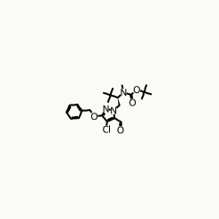 CN(C(=O)OC(C)(C)C)[C@@H](Cn1nc(OCc2ccccc2)c(Cl)c1C=O)C(C)(C)C